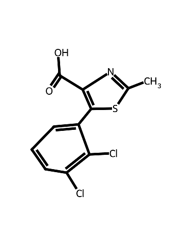 Cc1nc(C(=O)O)c(-c2cccc(Cl)c2Cl)s1